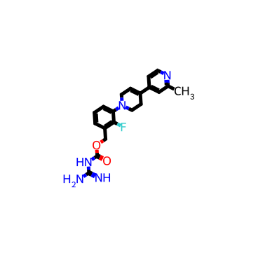 Cc1cc(C2=CCN(c3cccc(COC(=O)NC(=N)N)c3F)CC2)ccn1